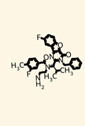 Cc1ccc(C(=O)N(CCN)[C@@H](c2nc3c(oc4ccc(F)cc43)c(=O)n2Cc2ccccc2)C(C)C)cc1F